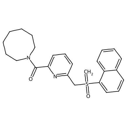 C=S(=O)(Cc1cccc(C(=O)N2CCCCCCC2)n1)c1cccc2ccccc12